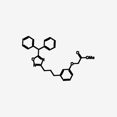 COC(=O)COc1cccc(CCCc2noc(C(c3ccccc3)c3ccccc3)n2)c1